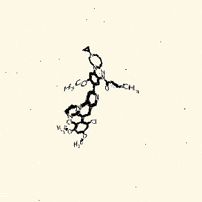 C/C=C/C(=O)Nc1cc(-c2cc3c(cn2)cc(C2=C(Cl)CC(OC)=CC(OC)=C2Cl)c2nccn23)c(OC)cc1N1CCCCN(C2CC2)CC1